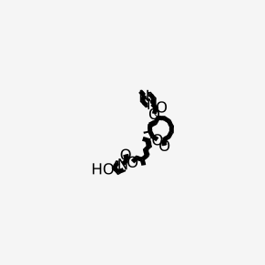 C/C(=C\C=C\C(C)COC(=O)N1CC[C@@H](O)C1)[C@H]1OC(=O)CCCCC[C@@H](OC(=O)N2CCN(C)CC2)/C=C/[C@@H]1C